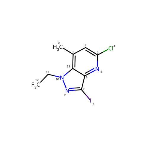 Cc1cc(Cl)nc2c(I)nn(CC(F)(F)F)c12